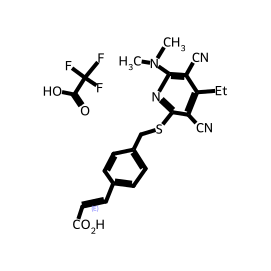 CCc1c(C#N)c(SCc2ccc(/C=C/C(=O)O)cc2)nc(N(C)C)c1C#N.O=C(O)C(F)(F)F